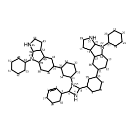 C1=CC(C2NC(C3CCCC(C4CCC5C(C4)C4CCNC4N5C4CCCCC4)C3)N2C2CCCC(C3CCC4C(C3)C3CCNC3N4C3CCCCC3)C2)CCC1